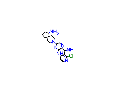 N=C(c1cccnc1Cl)c1ncc(N2CCC3(CCC[C@H]3N)CC2)nc1N